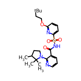 CC1CCN(c2ncccc2C(=O)NS(=O)(=O)c2cccc(OCCC(C)(C)C)n2)C1(C)C